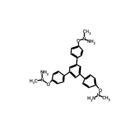 CN(N)Oc1ccc(-c2cc(-c3ccc(ON(C)N)cc3)cc(-c3ccc(ON(C)N)cc3)c2)cc1